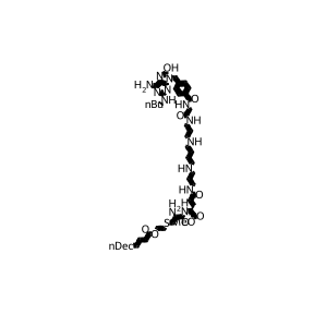 CCCCCCCCCCCCCC(=O)OCCSC[C@H](N)C(=O)N[C@@H](CCC(=O)NCCCNCCCCNCCCNC(=O)CNC(=O)c1ccc(Cn2c(O)nc3c(N)nc(NCCCC)nc32)cc1)C(=O)OC